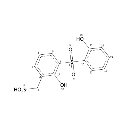 O=S(=O)(O)Cc1cccc(S(=O)(=O)c2ccccc2O)c1O